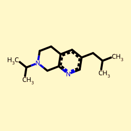 CC(C)Cc1cnc2c(c1)CCN(C(C)C)C2